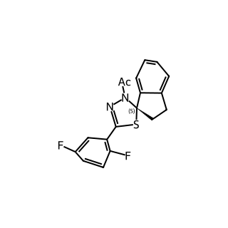 CC(=O)N1N=C(c2cc(F)ccc2F)S[C@]12CCc1ccccc12